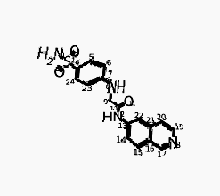 NS(=O)(=O)c1ccc(NCC(=O)Nc2ccc3cnccc3c2)cc1